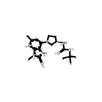 Cc1cc(N2CC[C@@H](NC(=O)OC(C)(C)C)C2)c2[nH]c(=O)n(C)c2n1